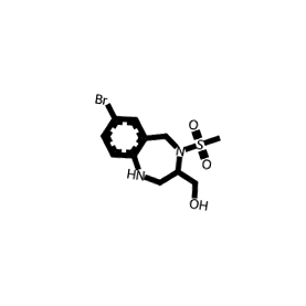 CS(=O)(=O)N1Cc2cc(Br)ccc2NCC1CO